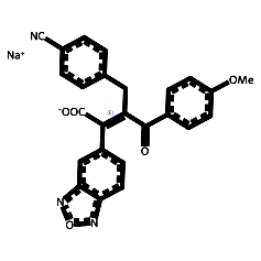 COc1ccc(C(=O)/C(Cc2ccc(C#N)cc2)=C(/C(=O)[O-])c2ccc3nonc3c2)cc1.[Na+]